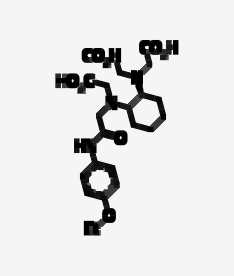 CCOc1ccc(NC(=O)CN(CC(=O)O)C2CCCC[C@@H]2N(CC(=O)O)CC(=O)O)cc1